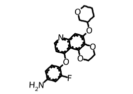 Nc1ccc(Oc2ccnc3cc(OC4CCCOC4)c4c(c23)OCCO4)c(F)c1